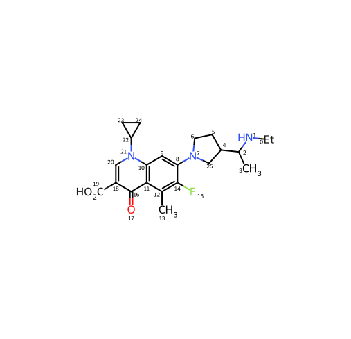 CCNC(C)C1CCN(c2cc3c(c(C)c2F)c(=O)c(C(=O)O)cn3C2CC2)C1